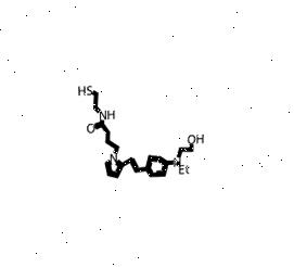 CCN(CCO)c1ccc(/C=C/c2cccn2CCCC(=O)NCCS)cc1